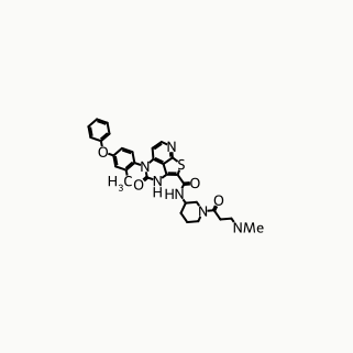 CNCCC(=O)N1CCCC(NC(=O)c2sc3nccc4c3c2NC(=O)N4c2ccc(Oc3ccccc3)cc2C)C1